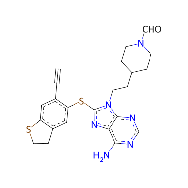 C#Cc1cc2c(cc1Sc1nc3c(N)ncnc3n1CCC1CCN(C=O)CC1)CCS2